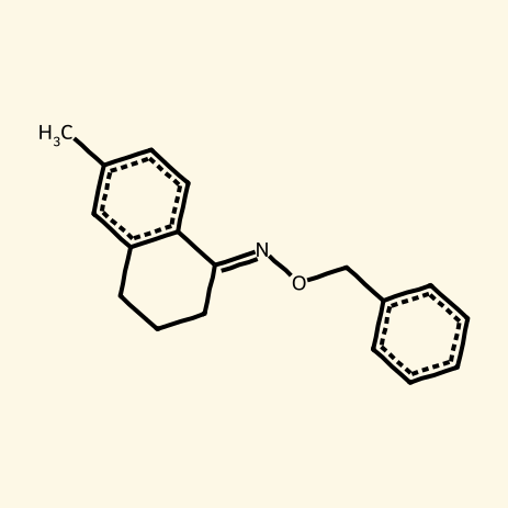 Cc1ccc2c(c1)CCC/C2=N\OCc1ccccc1